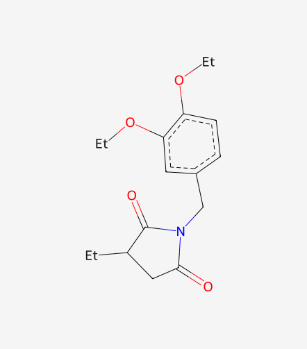 CCOc1ccc(CN2C(=O)CC(CC)C2=O)cc1OCC